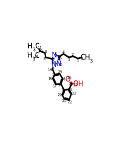 CCCCCc1nc(CCC(C)C)n(Cc2ccc(-c3ccccc3C(=O)O)cc2)n1